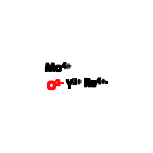 [Mo+4].[O-2].[Re+4].[Y+3]